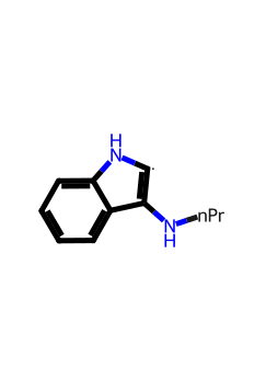 CCCNc1[c][nH]c2ccccc12